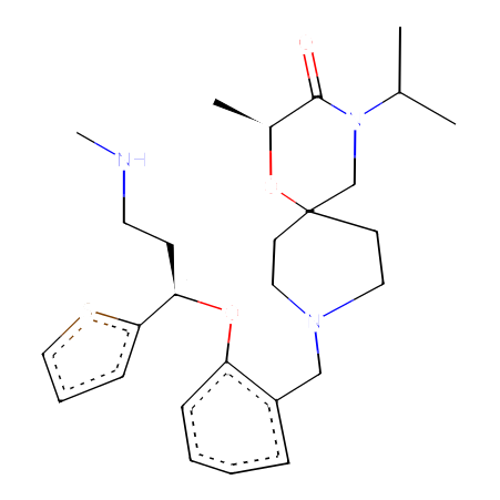 CNCC[C@@H](Oc1ccccc1CN1CCC2(CC1)CN(C(C)C)C(=O)[C@H](C)O2)c1cccs1